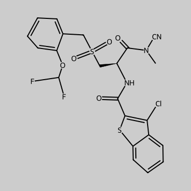 CN(C#N)C(=O)[C@H](CS(=O)(=O)Cc1ccccc1OC(F)F)NC(=O)c1sc2ccccc2c1Cl